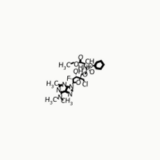 CCOC(=O)[C@H](C)N[P@@](=O)(OC[C@@]1(CCl)O[C@@H](n2cnc3c(N(C)C)nc(C)nc32)[C@H](F)[C@@H]1O)Oc1ccccc1